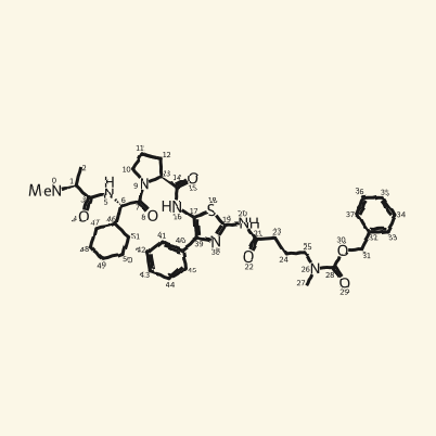 CN[C@@H](C)C(=O)N[C@H](C(=O)N1CCC[C@H]1C(=O)Nc1sc(NC(=O)CCCN(C)C(=O)OCc2ccccc2)nc1-c1ccccc1)C1CCCCC1